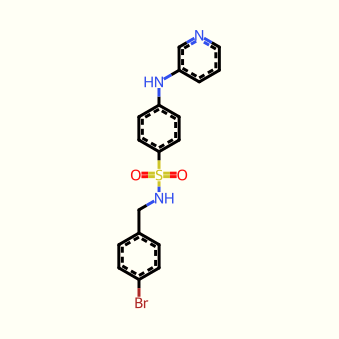 O=S(=O)(NCc1ccc(Br)cc1)c1ccc(Nc2cccnc2)cc1